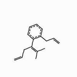 C=CCC(=C(C)C)c1ccccc1CC=C